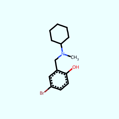 CN(Cc1cc(Br)ccc1O)C1CCCCC1